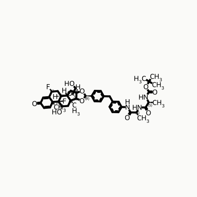 C[C@H](NC(=O)OC(C)(C)C)C(=O)N[C@@H](C)C(=O)Nc1cccc(Cc2ccc([C@@H]3O[C@@H]4C[C@H]5[C@@H]6C[C@H](F)C7=CC(=O)C=C[C@]7(C)[C@@]6(F)[C@@H](O)C[C@]5(C)[C@]4(C(=O)CO)O3)cc2)c1